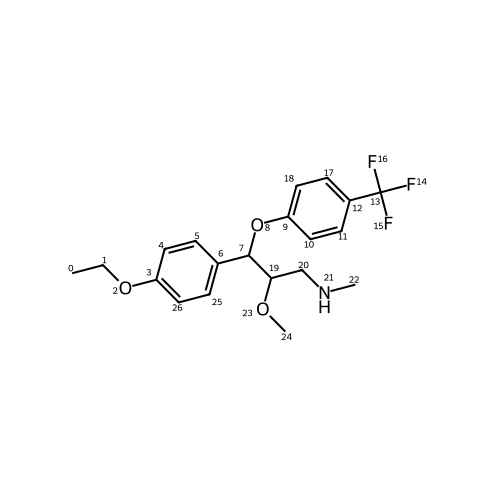 CCOc1ccc(C(Oc2ccc(C(F)(F)F)cc2)C(CNC)OC)cc1